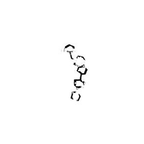 O=C1c2cc(-c3ccc(N4CCOCC4)nc3)ccc2OCCN1CC1N=CC=CN1